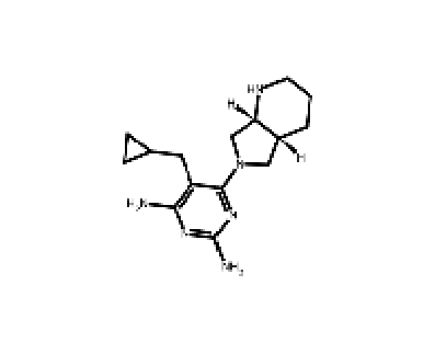 Nc1nc(N)c(CC2CC2)c(N2C[C@H]3CCCN[C@H]3C2)n1